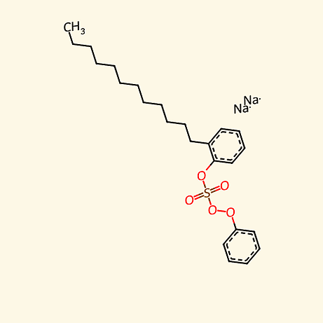 CCCCCCCCCCCCc1ccccc1OS(=O)(=O)OOc1ccccc1.[Na].[Na]